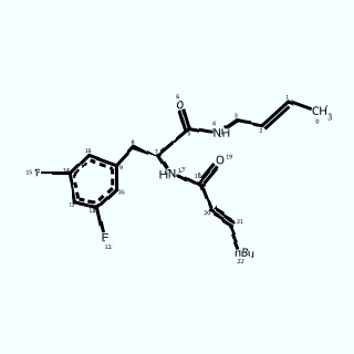 C/C=C/CNC(=O)[C@H](Cc1cc(F)cc(F)c1)NC(=O)/C=C/CCCC